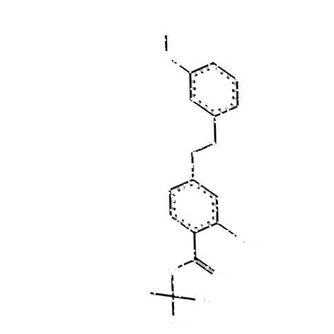 COc1cccc(CCc2ccc(C(=O)OC(C)(C)C)c(N)c2)c1